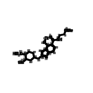 CCOc1c(C(=O)NCCOC)ccc2nn(CC3CCN(C(=O)O)C(C(C)(C)C)C3)cc12